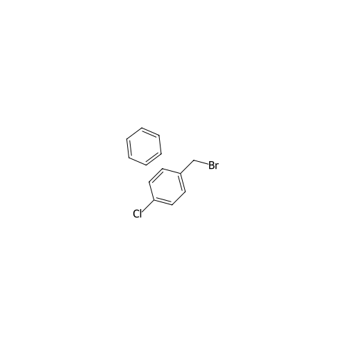 Clc1ccc(CBr)cc1.c1ccccc1